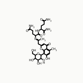 C/C(Cc1cc(=O)c2c(C)cc(O)c(C3OC(CO)C(O)C(O)C3O)c2o1)=N\C(CCC(N)=O)C(=O)NC(CCC(N)=O)C(N)=O